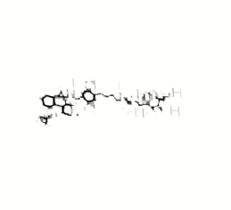 C[C@@H]([C@H](O)[C@@H](O)CNC(=O)NCCCCc1cc(Cl)c(CNC2(c3cnccc3-c3ccccc3OC3COC3)CC2)cc1Cl)[C@H](O)CO